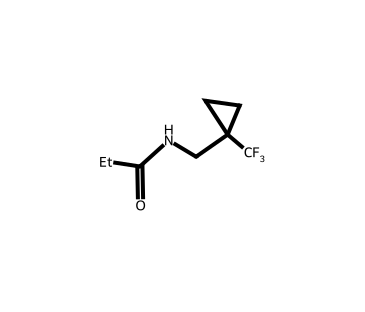 CCC(=O)NCC1(C(F)(F)F)CC1